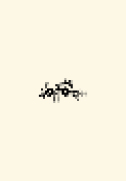 Cc1cn2cc(NC(=O)c3ccc(N4C[C@@H](C)N[C@@H](C)C4)c4nc(C)c(C)nc34)cc(F)c2n1